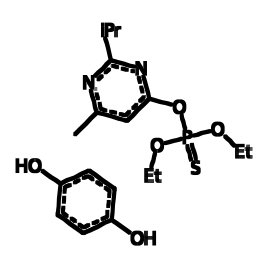 CCOP(=S)(OCC)Oc1cc(C)nc(C(C)C)n1.Oc1ccc(O)cc1